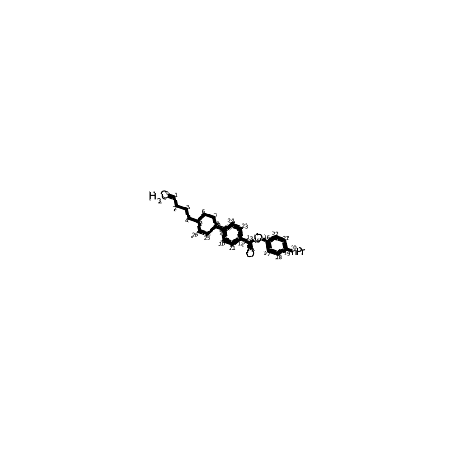 C=CCCCC1CCC(c2ccc(C(=O)Oc3ccc(CCC)cc3)cc2)CC1